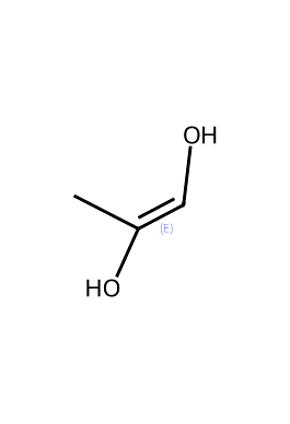 C/C(O)=C\O